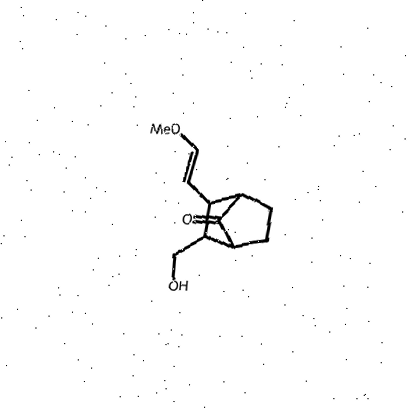 COC=CC1C2CCC(C2=O)C1CO